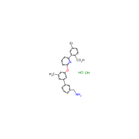 CCc1ccc(C(=O)O)c(-c2cccc(Oc3cc(C)cc(-c4cccc(CN)c4)c3)n2)c1.Cl.Cl